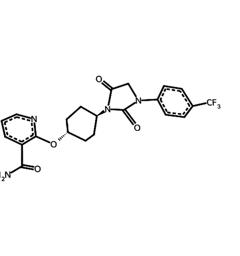 NC(=O)c1cccnc1O[C@H]1CC[C@H](N2C(=O)CN(c3ccc(C(F)(F)F)cc3)C2=O)CC1